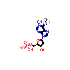 CN=c1c2ncn([C@H]3C[C@H](O)[C@@H](COP(=O)(O)O)O3)c2ncn1C